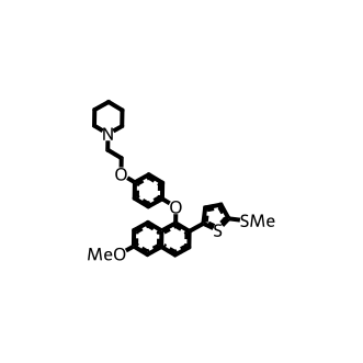 COc1ccc2c(Oc3ccc(OCCN4CCCCC4)cc3)c(-c3ccc(SC)s3)ccc2c1